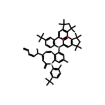 C=C/C=C\C(C)C1=C/C(=C)N(c2cc(C(C)(C)C)ccc2C)c2cc(C)cc(N(c3cc4c(cc3C)C(C)(C)CC4(C)C)c3ccc(C(C)(C)C)cc3-c3ccc4c(c3)C(C)(C)CC4(C)C)c2/C=C\1